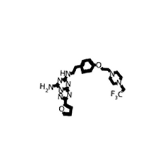 Nc1nc(NCCc2ccc(OCCN3CCN(CC(F)(F)F)CC3)cc2)nc2nc(-c3ccco3)nn12